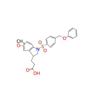 COc1ccc2c(c1)C(CCC(=O)O)CN2S(=O)(=O)c1ccc(COc2ccccc2)cc1